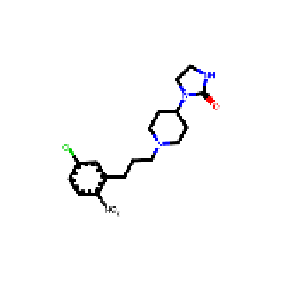 O=C1NCCN1C1CCN(CCCc2cc(Cl)ccc2[N+](=O)[O-])CC1